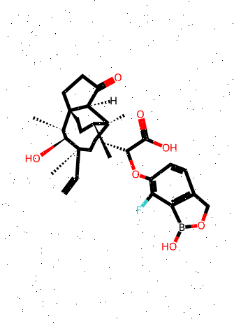 C=C[C@]1(C)C[C@@H](C(Oc2ccc3c(c2F)B(O)OC3)C(=O)O)[C@@]2(C)[C@H](C)CC[C@]3(CCC(=O)[C@H]32)[C@@H](C)[C@@H]1O